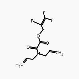 C=CCN(CC=C)C(=O)C(=O)OCC(F)=C(F)F